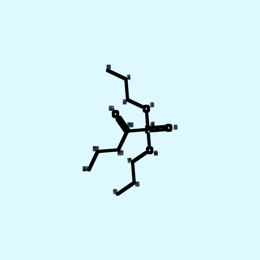 CCCOP(=O)(OCCC)C(=O)CCC